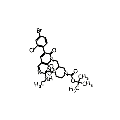 CNc1ncc2cc(-c3ccc(Br)cc3Cl)c(=O)n(CC3CN(C(=O)OC(C)(C)C)CCS3(=O)=O)c2n1